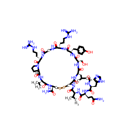 CC(C)C[C@@H]1NC(=O)[C@@H](NC(=O)[C@@H](NC(=O)[C@H](CCC(N)=O)NC(=O)[C@H](Cc2cnc[nH]2)NC=O)C(C)C)CSSC[C@@H](C(N)=O)NC(=O)[C@H](C(C)C)NC(=O)[C@@H]2CCCN2C(=O)[C@H](CCCNC(=N)N)NC(=O)CNC(=O)[C@H](CCCNC(=N)N)NC(=O)[C@H](Cc2ccc(O)cc2)NC(=O)[C@H](CO)NC1=O